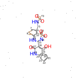 CS(=O)(=O)NCc1csc2c1S(=O)(=O)N=C(C1=C(O)C3C4C=CC(C4)C3NC1=O)N2